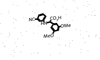 COc1cc(OC)cc(C(Nc2cccc(C#N)c2)C(=O)O)c1